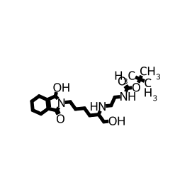 CC(C)(C)OC(=O)NCCNC(CO)CCCCN1C(=O)C2=C(CCCC2)C1O